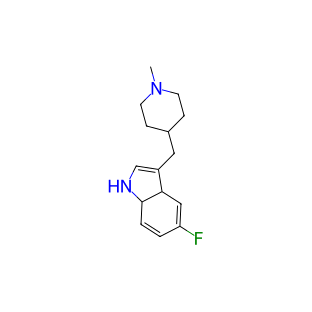 CN1CCC(CC2=CNC3C=CC(F)=CC23)CC1